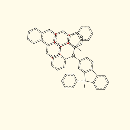 CC1(C)c2ccccc2-c2cccc(-c3ccccc3N(c3ccc4c(c3)C(C)(c3ccccc3)c3ccccc3-4)c3ccccc3-c3cccc4c3ccc3ccccc34)c21